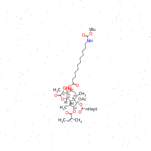 C/C=C(/C)C(=O)O[C@H]1C(C)=C2[C@H]([C@@H]1OC(=O)CCCCCCC)[C@@](C)(OC(C)=O)C[C@H](OC(=O)CCCCCCCCCCCNC(=O)OC(C)(C)C)[C@]1(O)[C@H]2OC(=O)[C@@]1(C)O